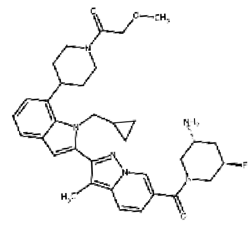 COCC(=O)N1CCC(c2cccc3cc(-c4nn5cc(C(=O)N6C[C@H](N)C[C@@H](F)C6)ccc5c4C)n(CC4CC4)c23)CC1